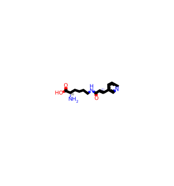 N[C@@H](CCCCNC(=O)/C=C/c1cccnc1)C(=O)O